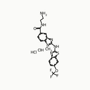 Cl.Cl.Cn1c(Nc2nc3ccc(OC(F)(F)F)cc3s2)nc2cc(C(=O)NCCN)ccc21